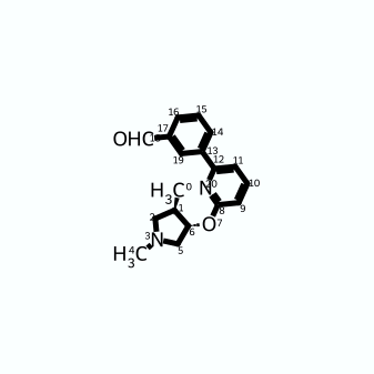 C[C@@H]1CN(C)C[C@H]1Oc1cccc(-c2cccc(C=O)c2)n1